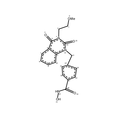 COCCn1c(=O)c2ccccc2n(Cc2ccc(C(=O)NO)cc2)c1=O